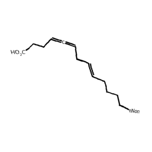 CCCCCCCCCCCCCC=CCC=C=CCCC(=O)O